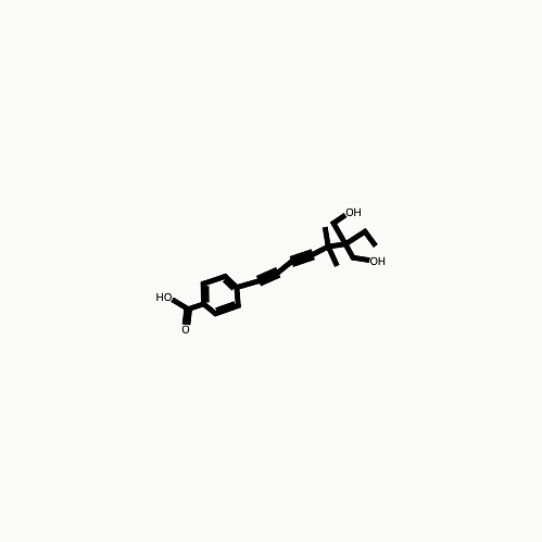 CCC(CO)(CO)C(C)(C)C#CC#Cc1ccc(C(=O)O)cc1